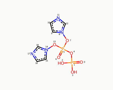 O=P(O)(O)OP(=O)(On1ccnc1)On1ccnc1